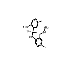 CCC(C)(Pc1ccc(C)cc1CNC(C)(C)C)c1cc(C)ccc1O